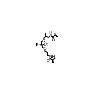 C=C(C)C(=O)NCCCOCC(CC)(CC)COCC(C)CNC(=O)C(=C)C